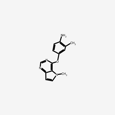 Cc1cc(Oc2ncnc3ccn(C)c23)ccc1N